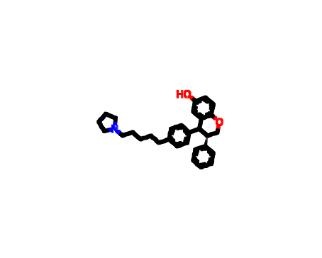 Oc1ccc2c(c1)C(c1ccc(CCCCCN3CCCC3)cc1)[C@@H](c1ccccc1)CO2